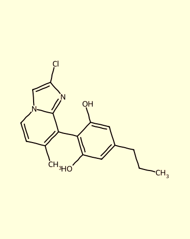 CCCc1cc(O)c(-c2c(C)ccn3cc(Cl)nc23)c(O)c1